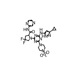 CS(=O)(=O)N1CCN(c2nc(Nc3cc(C4CC4)n[nH]3)nc(N3CC(F)(F)CC3C(=O)Nc3cnccn3)n2)CC1